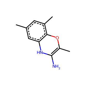 CC1=C(N)Nc2cc(C)cc(C)c2O1